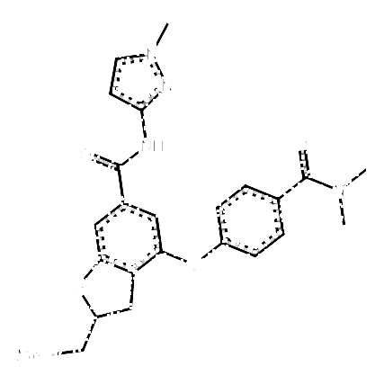 COCC1Cc2c(Oc3ccc(C(=O)N(C)C)cc3)cc(C(=O)Nc3ccn(C)n3)cc2O1